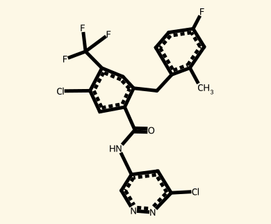 Cc1cc(F)ccc1Cc1cc(C(F)(F)F)c(Cl)cc1C(=O)Nc1cnnc(Cl)c1